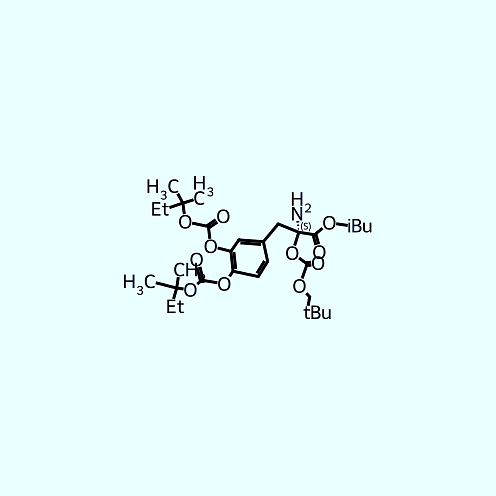 CCC(C)OC(=O)[C@](N)(Cc1ccc(OC(=O)OC(C)(C)CC)c(OC(=O)OC(C)(C)CC)c1)OC(=O)OCC(C)(C)C